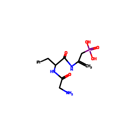 C=C(CP(=O)(O)O)NC(=O)C(CC(C)C)NC(=O)CN